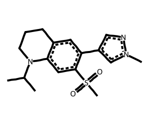 CC(C)N1CCCc2cc(-c3cnn(C)c3)c(S(C)(=O)=O)cc21